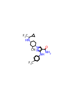 N#C[C@H]1C[C@H](N[C@@H](C2CC2)C(F)(F)F)CC[C@@H]1n1cc(C(N)=O)c(Nc2ccc(C(F)(F)F)cc2)n1